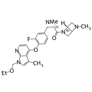 CCOCn1cc(C)c2c(Oc3ccc(C[C@H](NC)C(=O)N4CC5[C@H]4CN5C)cc3F)ccnc21